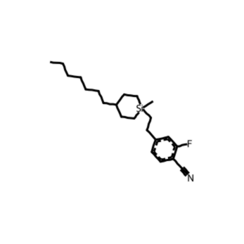 CCCCCCCC1CC[Si](C)(CCc2ccc(C#N)c(F)c2)CC1